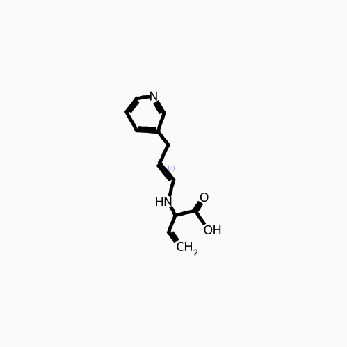 C=CC(N/C=C/Cc1cccnc1)C(=O)O